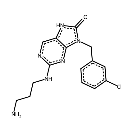 NCCCNc1ncc2[nH]c(=O)n(Cc3cccc(Cl)c3)c2n1